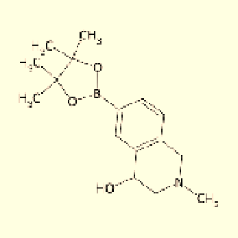 CN1Cc2ccc(B3OC(C)(C)C(C)(C)O3)cc2C(O)C1